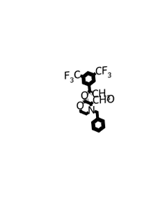 C[C@@H](O[C@H]1OCCN(Cc2ccccc2)C1C=O)c1cc(C(F)(F)F)cc(C(F)(F)F)c1